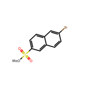 [CH2]OS(=O)(=O)c1ccc2cc(Br)ccc2c1